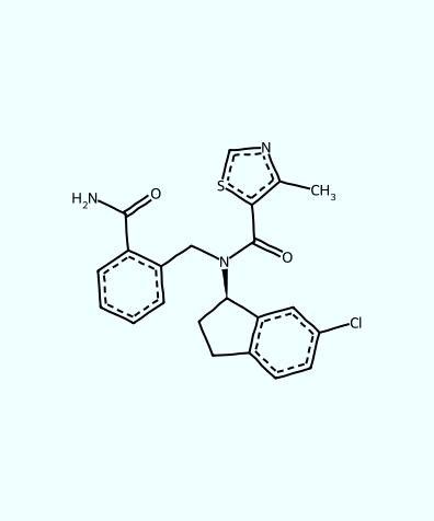 Cc1ncsc1C(=O)N(Cc1ccccc1C(N)=O)[C@@H]1CCc2ccc(Cl)cc21